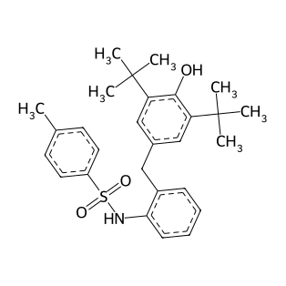 Cc1ccc(S(=O)(=O)Nc2ccccc2Cc2cc(C(C)(C)C)c(O)c(C(C)(C)C)c2)cc1